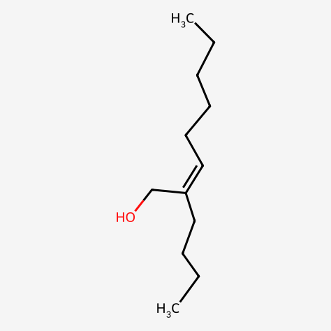 CCCCCC=C(CO)CCCC